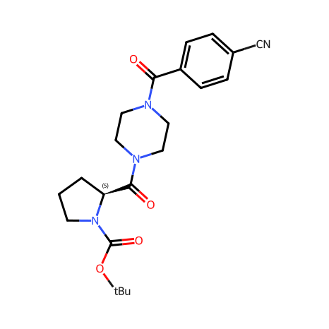 CC(C)(C)OC(=O)N1CCC[C@H]1C(=O)N1CCN(C(=O)c2ccc(C#N)cc2)CC1